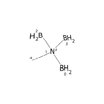 B[N+](B)(B)C